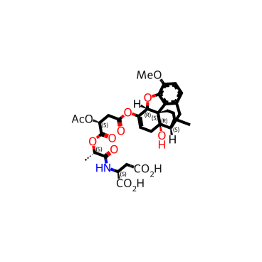 COc1ccc2c3c1O[C@H]1C(OC(=O)C[C@H](OC(C)=O)C(=O)O[C@@H](C)C(=O)N[C@@H](CC(=O)O)C(=O)O)=CC[C@@]4(O)[C@@H](C2)C(C)CC[C@]314